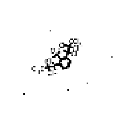 CC(C)([O])c1c(C(Cl)(Cl)C(Cl)(Cl)C(Cl)(Cl)Cl)cccc1C(Cl)(Cl)C(Cl)(Cl)C(Cl)(Cl)Cl